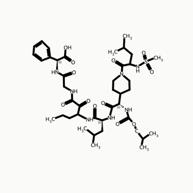 CCCC(NC(=O)[C@H](CC(C)C)NC(=O)[C@@H](NC(=O)OCC(C)C)C1CCN(C(=O)C(CC(C)C)NS(C)(=O)=O)CC1)C(=O)C(=O)NCC(=O)N[C@H](C(=O)O)c1ccccc1